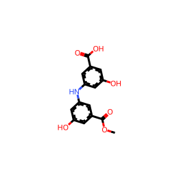 COC(=O)c1cc(O)cc(Nc2cc(O)cc(C(=O)O)c2)c1